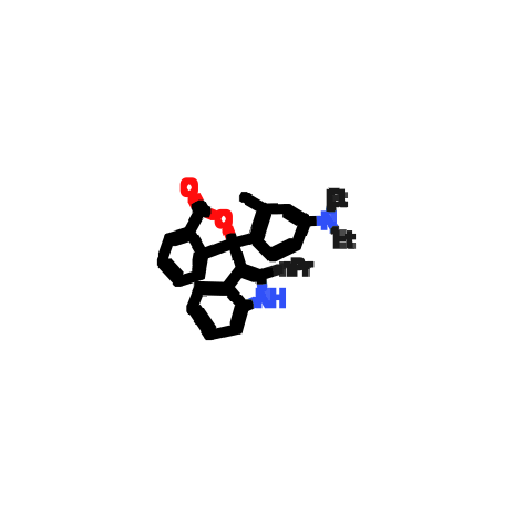 CCCc1[nH]c2ccccc2c1C1(c2ccc(N(CC)CC)cc2C)OC(=O)c2ccccc21